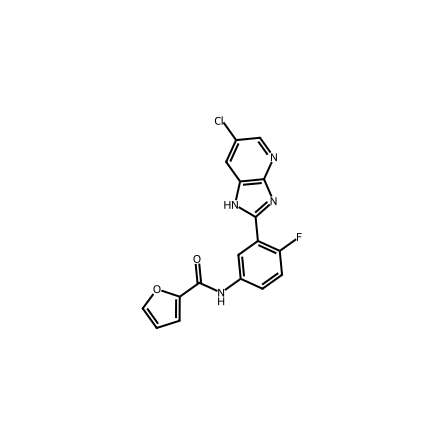 O=C(Nc1ccc(F)c(-c2nc3ncc(Cl)cc3[nH]2)c1)c1ccco1